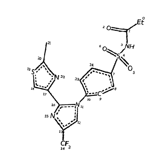 CCC(=O)NS(=O)(=O)c1ccc(-n2cc(C(F)(F)F)nc2-c2csc(C)n2)cc1